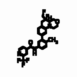 Cc1ccc(NC(=O)c2ccnc(C(F)(F)F)c2)cc1-c1ccc2c(c1)N1CCOC[C@H]1[C@](F)(CF)C2